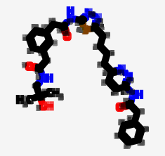 CC(C)(O)CNC(=O)Cc1cccc(CC(=O)Nc2nnc(CCCCc3ccc(NC(=O)Cc4ccccc4)nn3)s2)c1